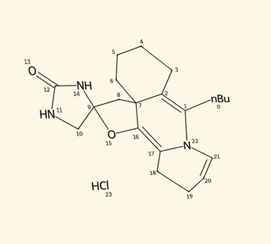 CCCCC1=C2CCCCC23CC2(CNC(=O)N2)OC3=C2CCC=CN12.Cl